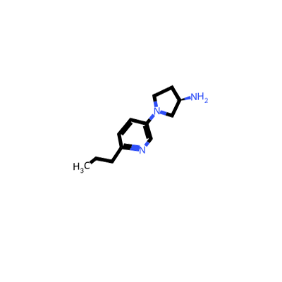 CCCc1ccc(N2CC[C@@H](N)C2)cn1